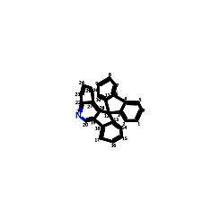 c1ccc2c(c1)-c1ccccc1C21c2ccccc2-c2cnc3ccccc3c21